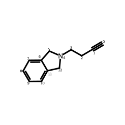 C#CCCN1Cc2ccccc2C1